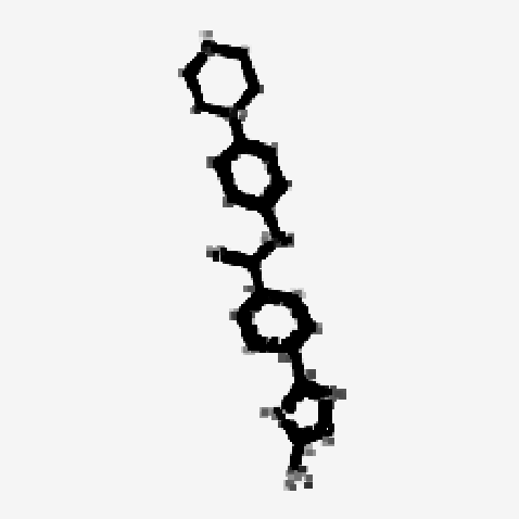 O=C(Nc1ccc(N2CCOCC2)cc1)c1ccc(-c2noc(C(F)(F)F)n2)cc1